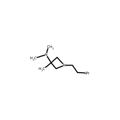 CC(C)CCN1CC(C)(N(C)C)C1